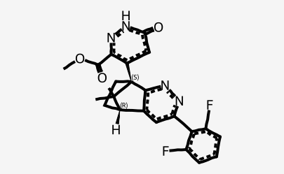 COC(=O)c1n[nH]c(=O)cc1[C@@]12CC[C@@H](c3cc(-c4c(F)cccc4F)nnc31)C2(C)C